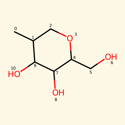 CC1COC(CO)C(O)C1O